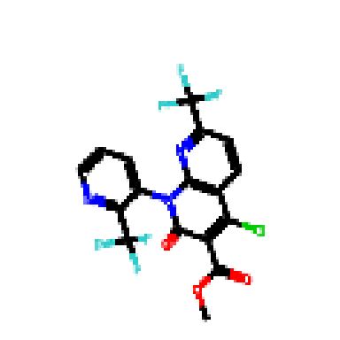 COC(=O)c1c(Cl)c2ccc(C(F)(F)F)nc2n(-c2cccnc2C(F)(F)F)c1=O